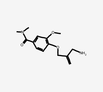 C=C(CN)COc1ccc(C(=O)N(C)C)cc1OC